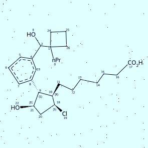 CCCC1(C(O)c2cccc([C@@H]3[C@@H](CCCCCCC(=O)O)[C@@H](Cl)C[C@H]3O)c2)CCC1